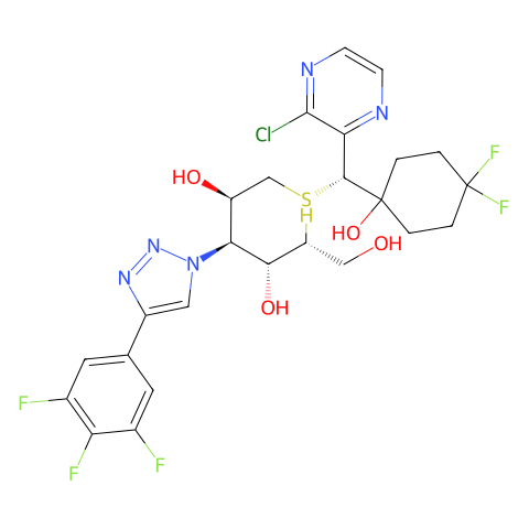 OC[C@@H]1[C@H](O)[C@@H](n2cc(-c3cc(F)c(F)c(F)c3)nn2)[C@@H](O)C[SH]1[C@H](c1nccnc1Cl)C1(O)CCC(F)(F)CC1